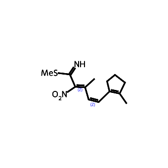 CSC(=N)/C(=C(C)/C=C\C1=C(C)CCC1)[N+](=O)[O-]